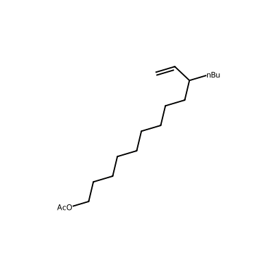 C=CC(CCCC)CCCCCCCCCOC(C)=O